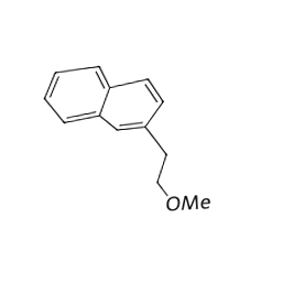 [CH2]OCCc1ccc2ccccc2c1